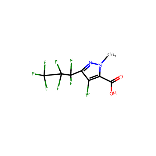 Cn1nc(C(F)(F)C(F)(F)C(F)(F)F)c(Br)c1C(=O)O